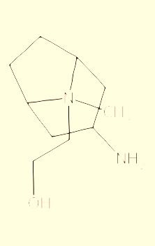 C[N+]1(CCO)C2CCC1CC(N)C2